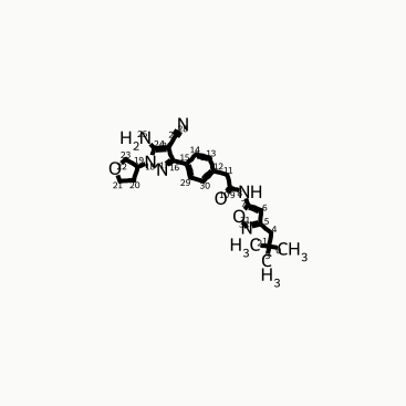 CC(C)(C)Cc1cc(NC(=O)Cc2ccc(-c3nn(C4CCOC4)c(N)c3C#N)cc2)on1